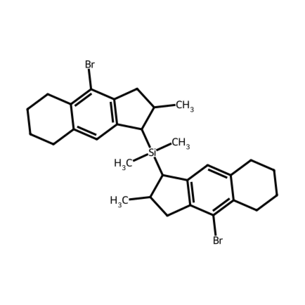 CC1Cc2c(cc3c(c2Br)CCCC3)C1[Si](C)(C)C1c2cc3c(c(Br)c2CC1C)CCCC3